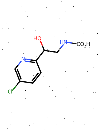 O=C(O)NCC(O)c1ccc(Cl)cn1